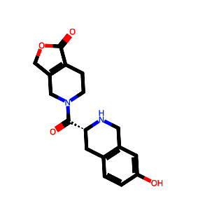 O=C1OCC2=C1CCN(C(=O)[C@H]1Cc3ccc(O)cc3CN1)C2